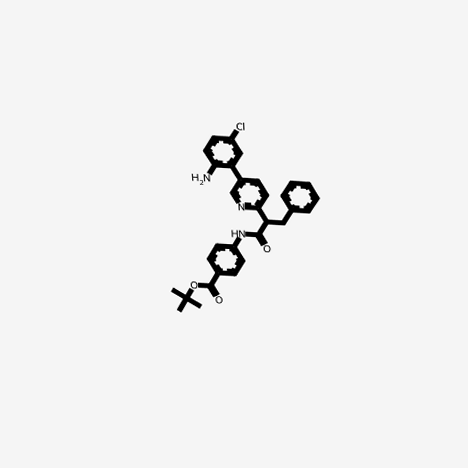 CC(C)(C)OC(=O)c1ccc(NC(=O)C(Cc2ccccc2)c2ccc(-c3cc(Cl)ccc3N)cn2)cc1